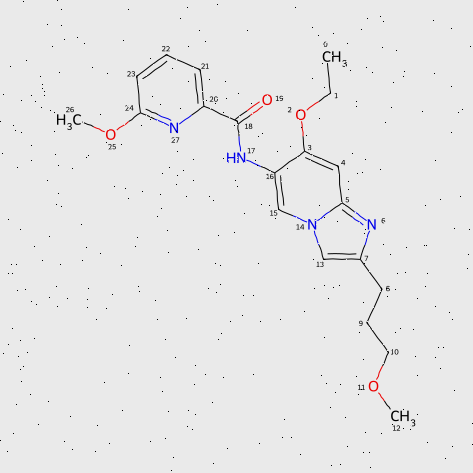 CCOc1cc2nc(CCCOC)cn2cc1NC(=O)c1cccc(OC)n1